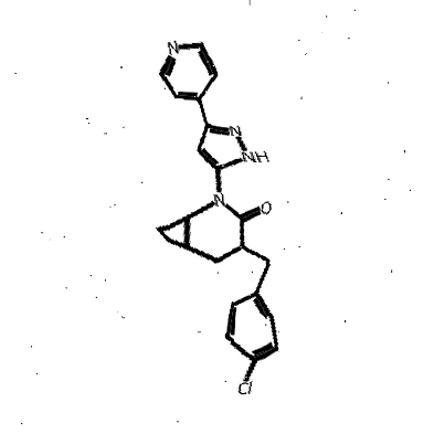 O=C1C(Cc2ccc(Cl)cc2)CC2CC2N1c1cc(-c2ccncc2)n[nH]1